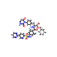 Cn1ccc(=O)n(-c2ccc(C[C@H](NC(=O)c3c(F)cc(NS(=O)(=O)c4ccc(-c5ncccn5)cn4)cc3F)C(=O)OCC3CCCCC3)cc2)c1=O